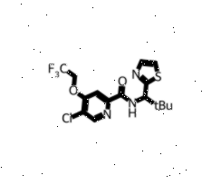 CC(C)(C)C(NC(=O)c1cc(OCC(F)(F)F)c(Cl)cn1)c1nccs1